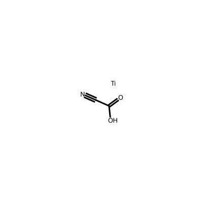 N#CC(=O)O.[Ti]